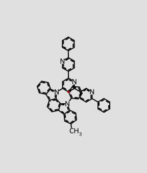 Cc1ccc2c(c1)c1ccc3c4ccccc4n(-c4cc(-c5ccc(-c6ccccc6)nc5)nc(-c5ccc(-c6ccccc6)nc5)c4)c3c1n2-c1ccccc1